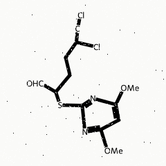 COc1cc(OC)nc(SC(C=O)CCC(Cl)CCl)n1